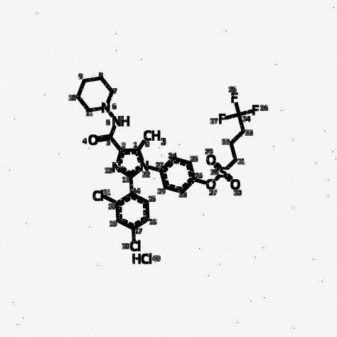 Cc1c(C(=O)NN2CCCCC2)nc(-c2ccc(Cl)cc2Cl)n1-c1ccc(OS(=O)(=O)CCCC(F)(F)F)cc1.Cl